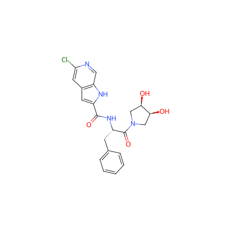 O=C(N[C@@H](Cc1ccccc1)C(=O)N1C[C@@H](O)[C@@H](O)C1)c1cc2cc(Cl)ncc2[nH]1